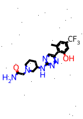 Cc1cc(C(F)(F)F)cc(O)c1-c1cnc(NC2CCCN(CC(N)=O)C2)nn1